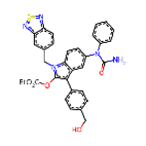 CCOC(=O)Oc1c(-c2ccc(CO)cc2)c2cc(N(C(N)=O)c3ccccc3)ccc2n1Cc1ccc2nsnc2c1